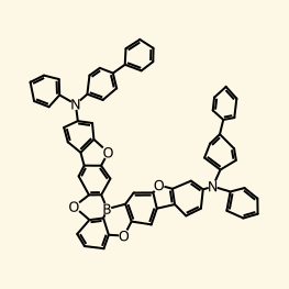 c1ccc(-c2ccc(N(c3ccccc3)c3ccc4c(c3)oc3cc5c(cc34)Oc3cccc4c3B5c3cc5oc6cc(N(c7ccccc7)c7ccc(-c8ccccc8)cc7)ccc6c5cc3O4)cc2)cc1